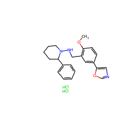 COc1ccc(-c2cnco2)cc1CNN1CCCCC1c1ccccc1.Cl.Cl